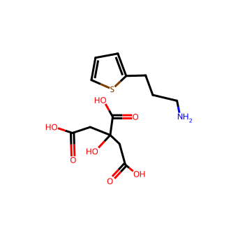 NCCCc1cccs1.O=C(O)CC(O)(CC(=O)O)C(=O)O